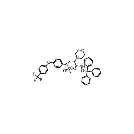 CS(=O)(=O)N(C[C@@H](C(=O)NOC(c1ccccc1)(c1ccccc1)c1ccccc1)N1CCOCC1)c1ccc(Oc2ccc(C(F)(F)F)cc2)cc1